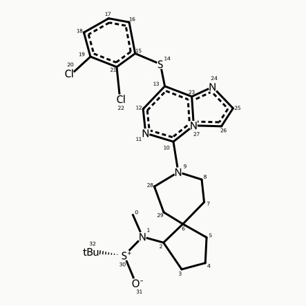 CN(C1CCCC12CCN(c1ncc(Sc3cccc(Cl)c3Cl)c3nccn13)CC2)[S@+]([O-])C(C)(C)C